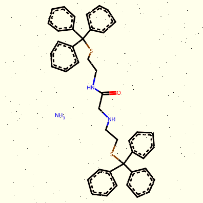 N.O=C(CNCCSC(c1ccccc1)(c1ccccc1)c1ccccc1)NCCSC(c1ccccc1)(c1ccccc1)c1ccccc1